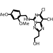 COc1ccc(CNc2nc(Cl)c(C)c3nc(CCO)nn23)c(OC)c1